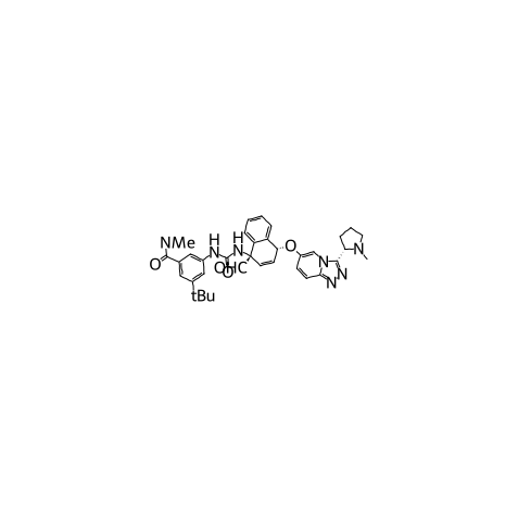 CNC(=O)c1cc(NC(=O)N[C@@]2(C=O)C=C[C@@H](Oc3ccc4nnc([C@@H]5CCCN5C)n4c3)c3ccccc32)cc(C(C)(C)C)c1